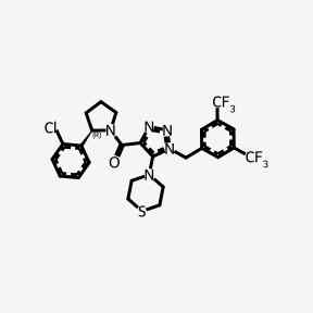 O=C(c1nnn(Cc2cc(C(F)(F)F)cc(C(F)(F)F)c2)c1N1CCSCC1)N1CCC[C@@H]1c1ccccc1Cl